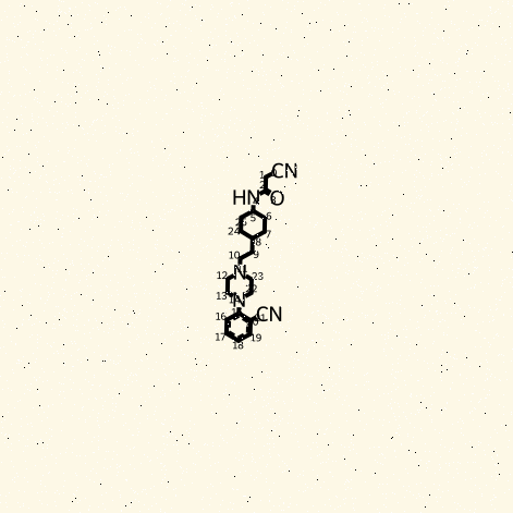 N#CCC(=O)NC1CCC(CCN2CCN(c3ccccc3C#N)CC2)CC1